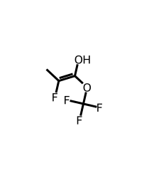 C/C(F)=C(\O)OC(F)(F)F